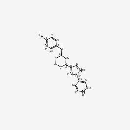 Fc1ccc(CC2CCCN(c3cnn(-c4ccnnc4)n3)C2)cn1